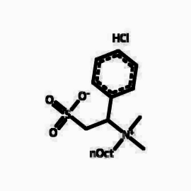 CCCCCCCC[N+](C)(C)C(CS(=O)(=O)[O-])c1ccccc1.Cl